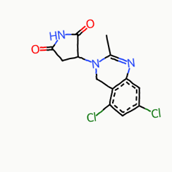 CC1=Nc2cc(Cl)cc(Cl)c2CN1C1CC(=O)NC1=O